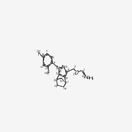 N=COCc1nn(-c2ccc(F)cc2F)c2c1C1CCC2C1